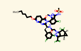 COCCCCCOc1ccc2c(=O)n(-c3ccc(Cl)c4c(NS(C)(=O)=O)nn(C)c34)c([C@H](Cc3cc(F)cc(F)c3)NC(=O)Cn3nc(C(F)F)c4c3C(F)(F)[C@@H]3C[C@H]43)nc2n1